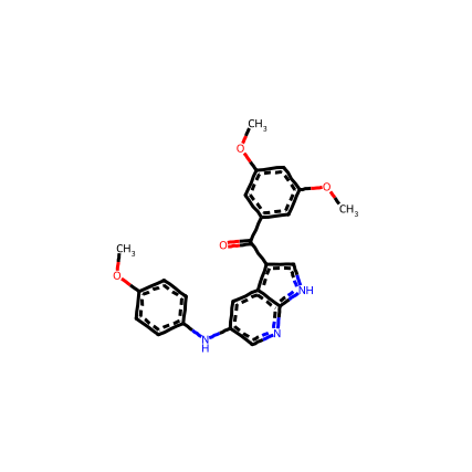 COc1ccc(Nc2cnc3[nH]cc(C(=O)c4cc(OC)cc(OC)c4)c3c2)cc1